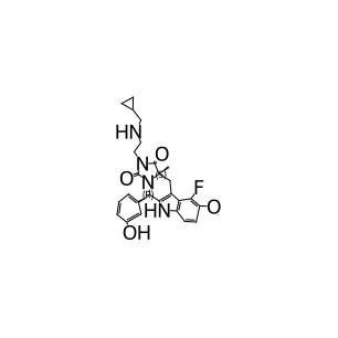 COc1ccc2[nH]c3c(c2c1F)C[C@@]1(C)C(=O)N(CCNCC2CC2)C(=O)N1[C@@H]3c1cccc(O)c1